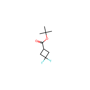 CC(C)(C)OC(=O)C1CC(F)(F)C1